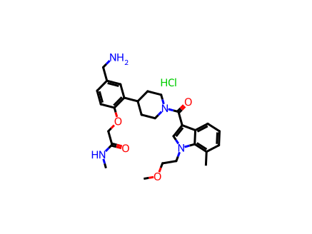 CNC(=O)COc1ccc(CN)cc1C1CCN(C(=O)c2cn(CCOC)c3c(C)cccc23)CC1.Cl